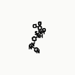 COc1cc(OC)c(NC(=S)Nc2cccc(Cn3ccnc3-c3ccncc3)c2)cc1Cl